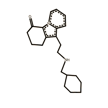 O=C1CCCc2c(CCNCC3CCCCC3)c3ccccn3c21